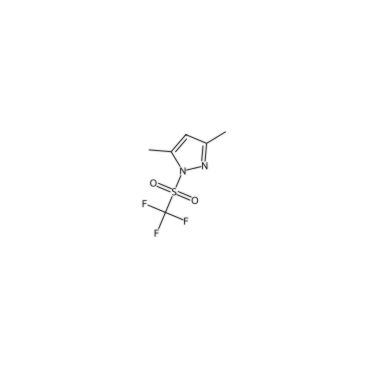 Cc1cc(C)n(S(=O)(=O)C(F)(F)F)n1